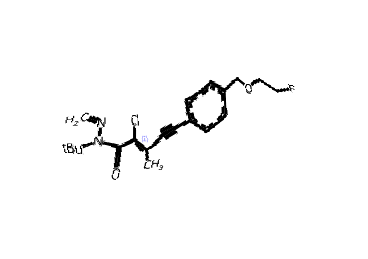 C=NN(C(=O)/C(Cl)=C(\C)C#Cc1ccc(COCCF)cc1)C(C)(C)C